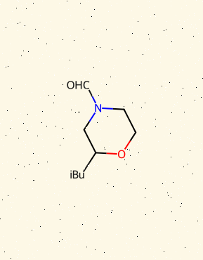 [CH2]CC(C)C1CN(C=O)CCO1